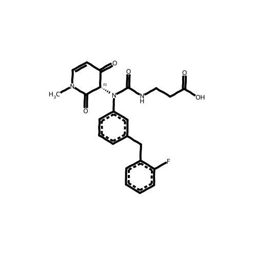 CN1C=CC(=O)[C@H](N(C(=O)NCCC(=O)O)c2cccc(Cc3ccccc3F)c2)C1=O